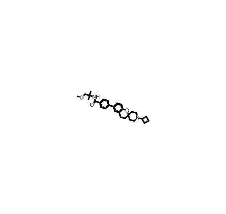 COCC(C)(C)NC(=O)c1ccc(-c2ccc3c(c2)CCC2(CCN(C4CCC4)CC2)O3)cc1